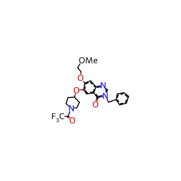 COCCOc1cc2ncn(Cc3ccccc3)c(=O)c2cc1OC1CCN(C(=O)C(F)(F)F)CC1